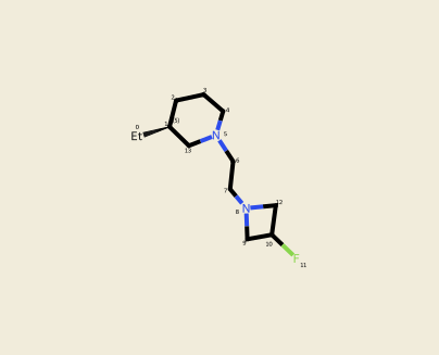 CC[C@H]1CCCN(CCN2CC(F)C2)C1